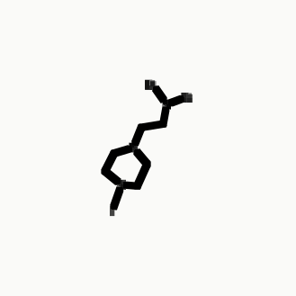 CCN(CC)CCN1CCN(I)CC1